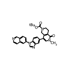 Cn1cc(-c2ccc3c(c2)ncn3-c2ccc3cnccc3c2)c2c(c1=O)CCN(C(=O)OC(C)(C)C)C2